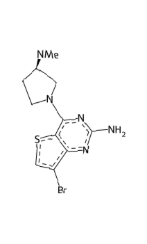 CN[C@@H]1CCN(c2nc(N)nc3c(Br)csc23)C1